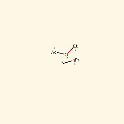 CCCC.CCOC(C)=O